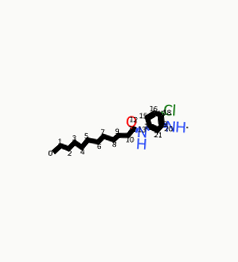 CCCCCCCCCCCC(=O)Nc1ccc(Cl)c([NH])c1